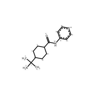 CC(C)(N)C1CCC(C(=O)Nc2ccncc2)CC1